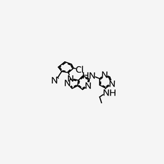 CCNc1cc(Nc2cc3c(cn2)cnn3-c2c(Cl)cccc2C#N)ncn1